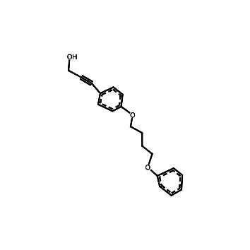 OCC#Cc1ccc(OCCCCOc2ccccc2)cc1